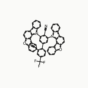 N#Cc1cc(C(F)(F)F)ccc1-c1cc(-n2c3ccccc3c3ccc4oc5ccccc5c4c32)c(C#N)c(-n2c3ccccc3c3ccc4oc5ccccc5c4c32)c1